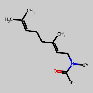 CC(C)=CCC/C(C)=C/CN(C(=O)C(C)C)C(C)C